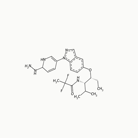 CC[C@@H](Oc1ccc2c(cnn2C2=CNC(NN)C=C2)c1)[C@@H](NC(=O)C(C)(F)F)C(C)C